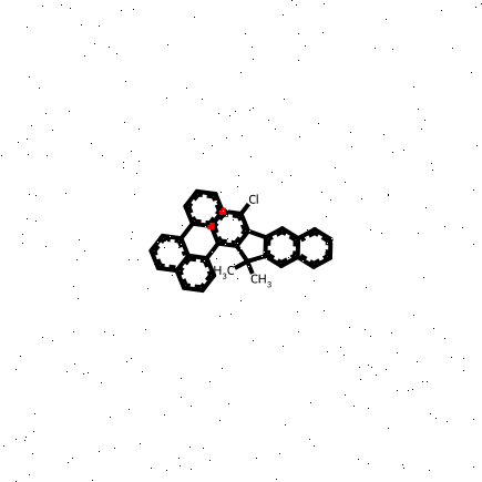 CC1(C)c2cc3ccccc3cc2-c2c(Cl)ccc(-c3cccc4cccc(-c5ccccc5)c34)c21